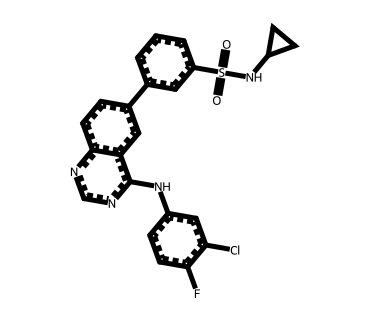 O=S(=O)(NC1CC1)c1cccc(-c2ccc3ncnc(Nc4ccc(F)c(Cl)c4)c3c2)c1